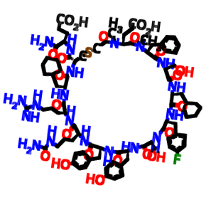 CN1C(=O)CSC[C@@H](C(=O)N[C@H](CCC(=O)O)C(N)=O)NC(=O)[C@H](CC2CCCCC2)NC(=O)[C@H](CCCNC(=N)N)NC(=O)[C@H](CCCNC(N)=O)NC(=O)[C@H](Cc2ccc(O)cc2)NC(=O)[C@H](Cc2ccc(O)cc2)NC(=O)[C@H](CO)NC(=O)[C@H](Cc2ccc(F)cc2)NC(=O)[C@H](CC2CCCCC2)NC(=O)[C@H](CO)NC(=O)[C@H](Cc2ccccc2)N(C)C(=O)[C@@H]1CCC(=O)O